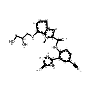 Cn1c(C(=O)Nc2ccc(C#N)cc2-c2noc(=O)[nH]2)cc2cccc(OC[C@@H](O)CO)c21